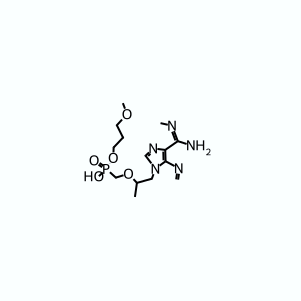 C=Nc1c(/C(N)=N\C)ncn1CC(C)OCP(=O)(O)OCCCOC